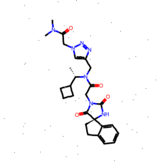 C[C@@H](C1CCC1)N(Cc1cn(CC(=O)N(C)C)nn1)C(=O)CN1C(=O)N[C@@]2(CCc3ccccc32)C1=O